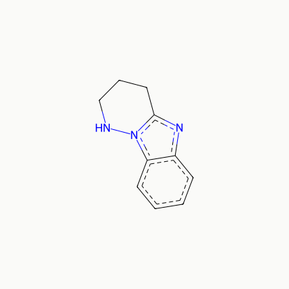 c1ccc2c(c1)nc1n2NCCC1